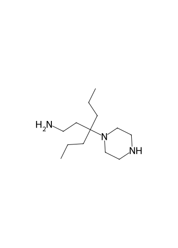 CCCC(CCC)(CCN)N1CCNCC1